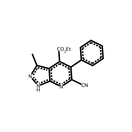 CCOC(=O)c1c(-c2ccccc2)c(C#N)nc2[nH]nc(C)c12